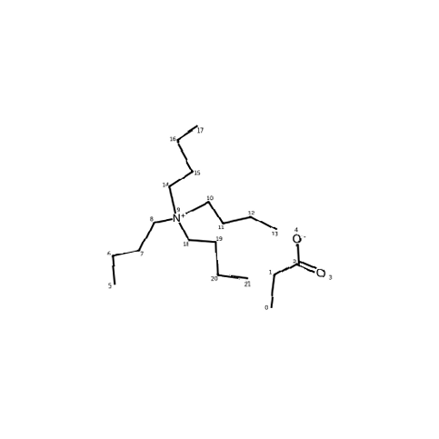 CCC(=O)[O-].CCCC[N+](CCCC)(CCCC)CCCC